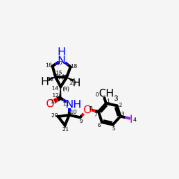 Cc1cc(I)ccc1OCC1(NC(=O)[C@H]2[C@@H]3CNC[C@@H]32)CC1